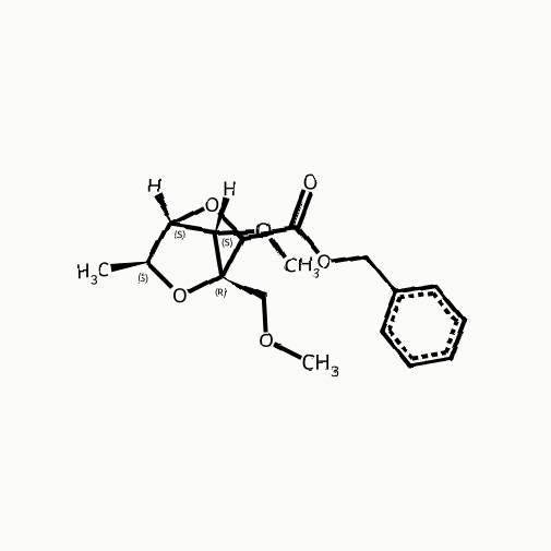 COC[C@]12O[C@@H](C)[C@H](OC1C(=O)OCc1ccccc1)[C@@H]2OC